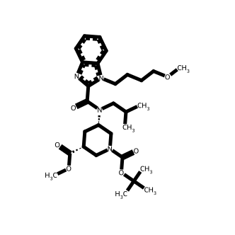 COCCCCn1c(C(=O)N(CC(C)C)[C@H]2C[C@@H](C(=O)OC)CN(C(=O)OC(C)(C)C)C2)nc2ccccc21